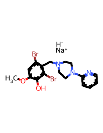 COc1cc(Br)c(CN2CCN(c3ccccn3)CC2)c(Br)c1O.[H-].[Na+]